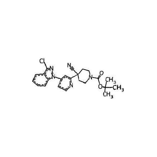 CC(C)(C)OC(=O)N1CCC(C#N)(c2cc(-n3nc(Cl)c4ccccc43)ccn2)CC1